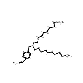 C=Cc1ccc(CN(CCCCCCCCCC)CCCCCCCCCC)cc1